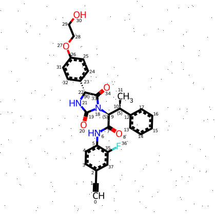 C#Cc1ccc(NC(=O)[C@H]([C@@H](C)c2ccccc2)N2C(=O)N[C@H](c3ccc(OCCO)cc3)C2=O)c(F)c1